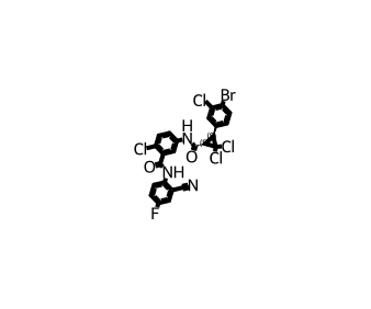 N#Cc1cc(F)ccc1NC(=O)c1cc(NC(=O)[C@@H]2[C@@H](c3ccc(Br)c(Cl)c3)C2(Cl)Cl)ccc1Cl